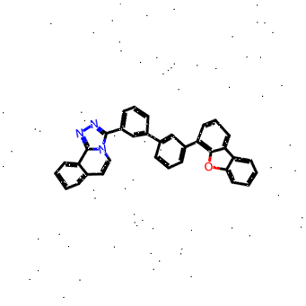 c1cc(-c2cccc(-c3nnc4c5ccccc5ccn34)c2)cc(-c2cccc3c2oc2ccccc23)c1